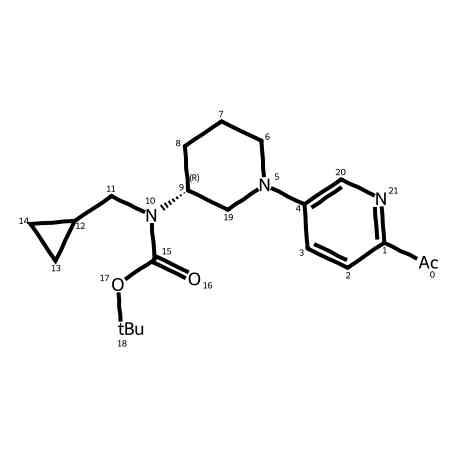 CC(=O)c1ccc(N2CCC[C@@H](N(CC3CC3)C(=O)OC(C)(C)C)C2)cn1